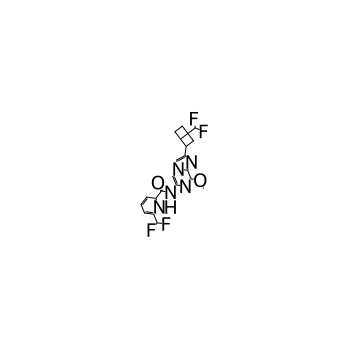 COc1nc(NC(=O)c2cccc(C(F)F)n2)cn2cc(C3CC4(C(F)F)CCC34)nc12